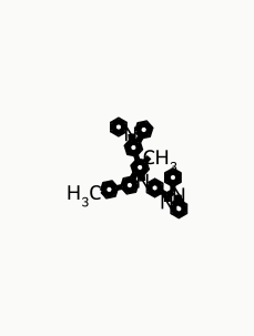 Cc1ccc(-c2ccc3c(c2)c2cc(-c4ccc5c(c4)c4ccccc4n5-c4ccccc4)c(C)cc2n3-c2ccc(-c3nc4ccccc4nc3-c3ccccc3)cc2)cc1